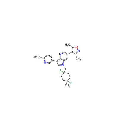 Cc1noc(C)c1-c1cnc2c(-c3ccc(C(=O)O)nc3)cn(CC3(F)CCC(C)(F)CC3)c2c1